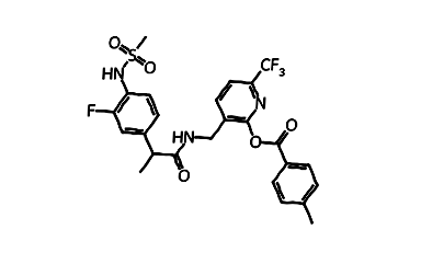 Cc1ccc(C(=O)Oc2nc(C(F)(F)F)ccc2CNC(=O)C(C)c2ccc(NS(C)(=O)=O)c(F)c2)cc1